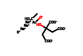 CC(=O)O.CC(=O)[O-].O=C([O-])CC(O)(CC(=O)[O-])C(=O)[O-].[K+].[Na+].[Na+].[Na+]